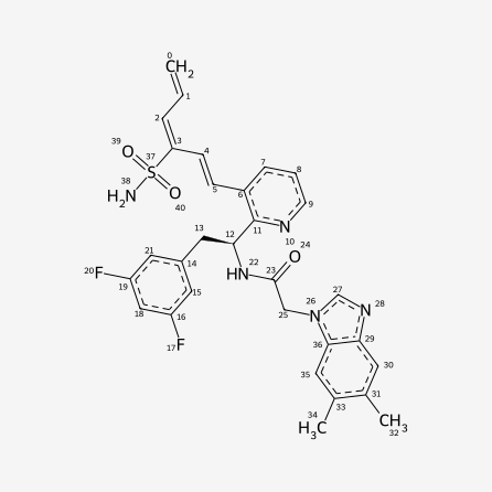 C=C/C=C(\C=C\c1cccnc1[C@H](Cc1cc(F)cc(F)c1)NC(=O)Cn1cnc2cc(C)c(C)cc21)S(N)(=O)=O